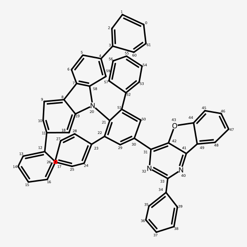 c1ccc(-c2ccc3c4ccc(-c5ccccc5)cc4n(-c4c(-c5ccccc5)cc(-c5nc(-c6ccccc6)nc6c5oc5ccccc56)cc4-c4ccccc4)c3c2)cc1